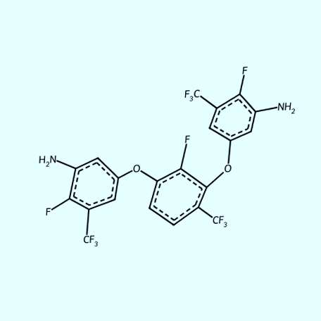 Nc1cc(Oc2ccc(C(F)(F)F)c(Oc3cc(N)c(F)c(C(F)(F)F)c3)c2F)cc(C(F)(F)F)c1F